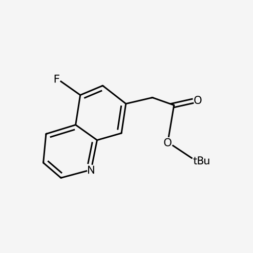 CC(C)(C)OC(=O)Cc1cc(F)c2cccnc2c1